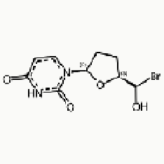 O=c1ccn([C@H]2CC[C@@H](C(O)Br)O2)c(=O)[nH]1